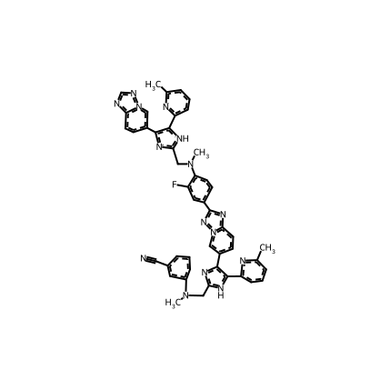 Cc1cccc(-c2[nH]c(CN(C)c3cccc(C#N)c3)nc2-c2ccc3nc(-c4ccc(N(C)Cc5nc(-c6ccc7ncnn7c6)c(-c6cccc(C)n6)[nH]5)c(F)c4)nn3c2)n1